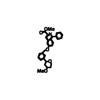 COC(=O)c1cc2cc(OCc3cccc(C4CC(OC)CCO4)c3)ccc2c(-c2ccccc2)n1